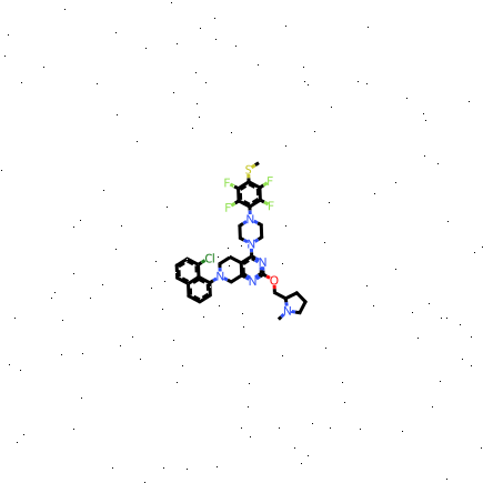 CSc1c(F)c(F)c(N2CCN(c3nc(OCC4CCCN4C)nc4c3CCN(c3cccc5cccc(Cl)c35)C4)CC2)c(F)c1F